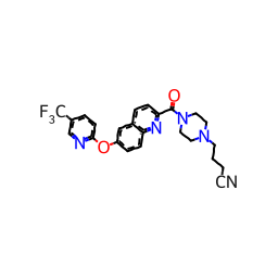 N#CCCCN1CCN(C(=O)c2ccc3cc(Oc4ccc(C(F)(F)F)cn4)ccc3n2)CC1